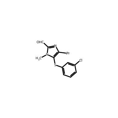 CC(C)c1nc(C=O)n(C)c1Sc1cccc(Cl)c1